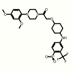 COc1ccc(N2CCN(C(=O)COC3CCC(Nc4ccc([N+](=O)[O-])c(C(F)(F)F)c4)CC3)CC2)c(OC)c1